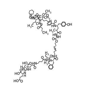 CCCC(=O)OCN(C(=O)[C@@H](NC(=O)[C@H]1CCCCN1C)C(C)CC)[C@H](CCc1nc(C(=O)N[C@@H](Cc2ccc(O)cc2)C[C@H](C)C(=O)NNC(=O)OCCSSCCNC(=O)[C@@H](Cc2ccccc2)N(C)C(=O)[C@H](C)NC(=O)CCCNC(=O)CC[C@](C)(NC(=O)N[C@@H](CCC(=O)O)C(=O)O)C(=O)O)cs1)C(C)(C)OC(C)=O